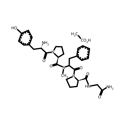 CC(=O)O.CN(C(=O)[C@@H]1CCCN1C(=O)[C@@H](N)Cc1ccc(O)cc1)C(Cc1ccccc1)C(=O)N1CCC[C@@H]1C(=O)NCC(N)=O